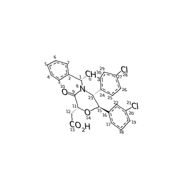 C[C@@H](c1ccccc1)N1C(=O)[C@@H](CC(=O)O)O[C@H](c2cccc(Cl)c2)[C@H]1c1ccc(Cl)cc1